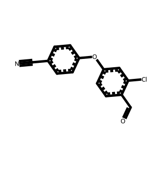 N#Cc1ccc(Oc2ccc(C=O)c(Cl)c2)cc1